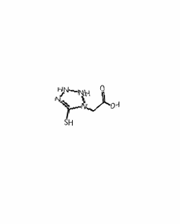 O=C(O)CN1NNN=C1S